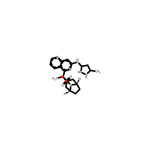 CCS(=O)(=O)N1[C@@H]2CC[C@H]1CC(Nc1nc(NC3CC(C)NN3)cc3ncccc13)C2